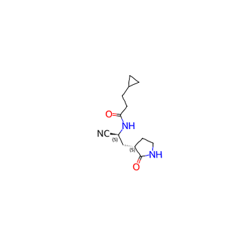 N#C[C@H](C[C@@H]1CCNC1=O)NC(=O)CCC1CC1